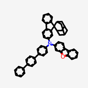 c1ccc(-c2ccc(-c3ccc(N(c4ccc5c(c4)C4(c6ccccc6-5)C5CC6CC(C5)CC4C6)c4ccc5c(c4)oc4ccccc45)cc3)cc2)cc1